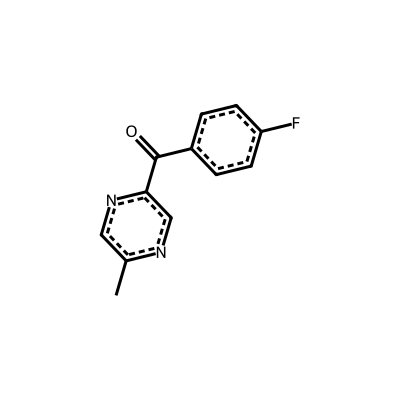 Cc1cnc(C(=O)c2ccc(F)cc2)cn1